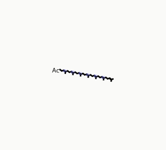 CC(=O)CC/C=C(\C)CC/C=C(\C)CC/C=C(\C)CC/C=C(\C)CC/C=C(\C)CC/C=C(\C)CCC=C(C)C